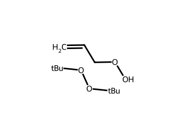 C=CCOO.CC(C)(C)OOC(C)(C)C